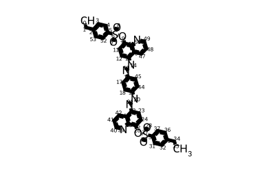 CCc1ccc(S(=O)(=O)Oc2ccc(N=Nc3ccc(N=Nc4ccc(OS(=O)(=O)c5ccc(CC)cc5)c5ncccc45)cc3)c3cccnc23)cc1